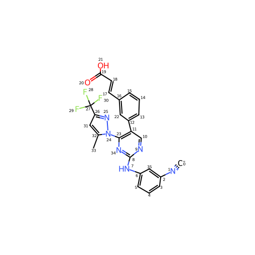 [C-]#[N+]c1cccc(Nc2ncc(-c3cccc(/C=C/C(=O)O)c3)c(-n3nc(C(F)(F)F)cc3C)n2)c1